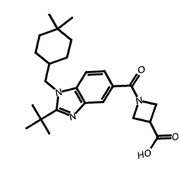 CC1(C)CCC(Cn2c(C(C)(C)C)nc3cc(C(=O)N4CC(C(=O)O)C4)ccc32)CC1